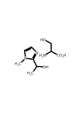 CC(O)c1nccn1C.NC(CO)C(=O)O